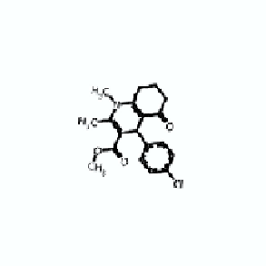 COC(=O)C1=C(C)N(C)C2=C(C(=O)CCC2)C1c1ccc(Cl)cc1